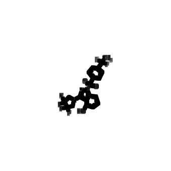 CC(F)(F)c1ccc(S(=O)(=O)n2nc(N3CC(F)(F)C(F)(F)C3)c3c(O)cccc32)cc1